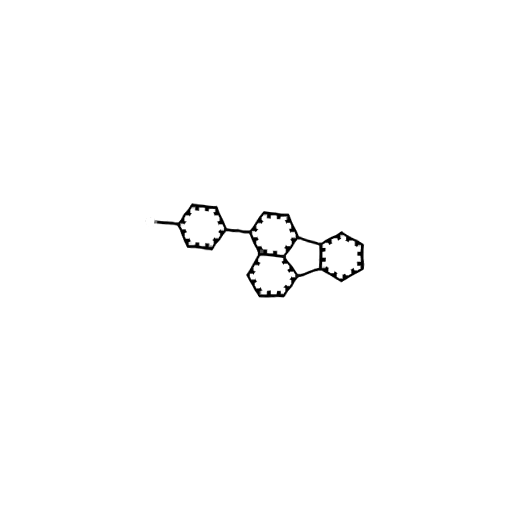 Clc1ccc(-c2ccc3c4c(cccc24)-c2ccccc2-3)cc1